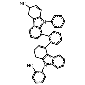 N#Cc1ccccc1-n1c2c(c3ccccc31)C(c1ccccc1-c1cccc3c4c(n(-c5ccccc5)c13)C=CC(C#N)C4)=CCC2